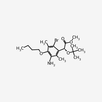 CCCCOc1c(C)c(Br)c([C@H](OC(C)(C)C)C(=O)OC)c(C)c1N